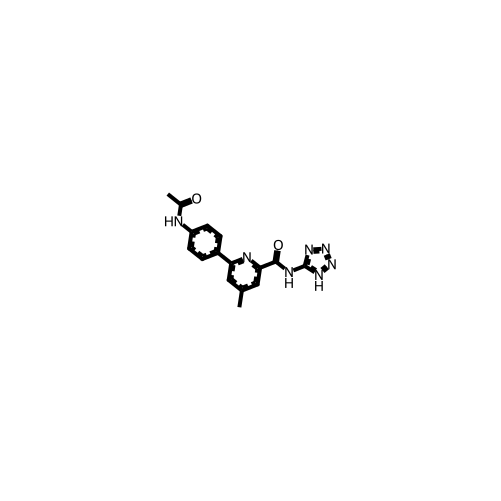 CC(=O)Nc1ccc(-c2cc(C)cc(C(=O)Nc3nnn[nH]3)n2)cc1